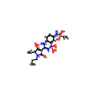 CC(C)(C)CCN1C(=O)C(C2=NP(=O)(O)c3cc(NS(C)(=O)=O)ccc3N2)=C(O)[C@@H]1C(C)(C)C